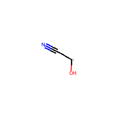 N#C[C]O